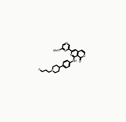 COc1cncc(-c2cc3c(c(Nc4ccc(C5CCN(CCCF)CC5)cc4)n2)C(=O)[N]C=C3)n1